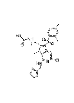 Cc1cc(C)c(S(=O)(=O)n2c(CC(C)NC(=O)O)c(C)c3c(NCc4ccco4)nc(Cl)nc32)c(C)c1